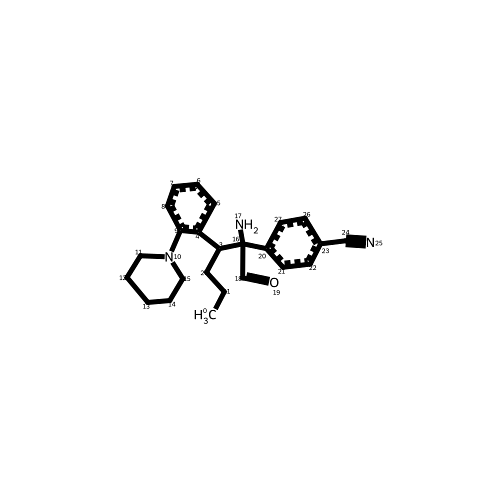 CCCC(c1ccccc1N1CCCCC1)C(N)(C=O)c1ccc(C#N)cc1